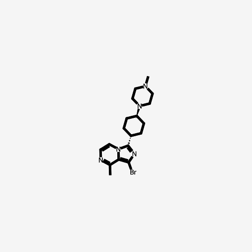 Cc1nccn2c1c(Br)nc2[C@H]1CC[C@H](N2CCN(C)CC2)CC1